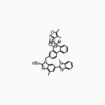 CCCCc1nc2c(C)cc(-c3nc4ccccc4n3C)cc2n1Cc1ccc(-c2ccccc2S(=O)(=O)Nc2noc(C)c2C)c(COCC)c1